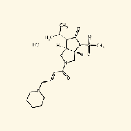 CC(C)[C@@H]1C(=O)N(S(C)(=O)=O)[C@@H]2CN(C(=O)/C=C/CN3CCCCC3)C[C@H]21.Cl